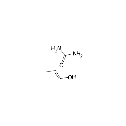 C/C=C/O.NC(N)=O